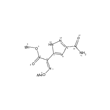 CON=C(C(=O)OC(C)(C)C)c1cc(C(N)=O)n[nH]1